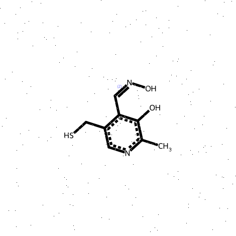 Cc1ncc(CS)c(/C=N\O)c1O